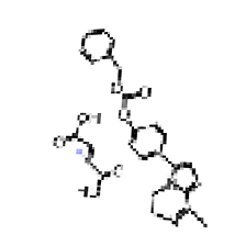 CC1=NCCn2c1ccc2-c1ccc(OC(=O)OCc2ccccc2)cc1.O=C(O)/C=C/C(=O)O